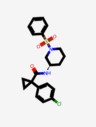 O=C(N[C@H]1CCCN(S(=O)(=O)c2ccccc2)C1)C1(c2ccc(Cl)cc2)CC1